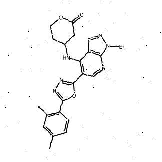 CCn1ncc2c(NC3CCOC(=O)C3)c(-c3nnc(-c4ccc(C)cc4C)o3)cnc21